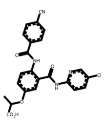 CC(Oc1ccc(NC(=O)c2ccc(C#N)cc2)c(C(=O)Nc2ccc(Cl)cn2)c1)C(=O)O